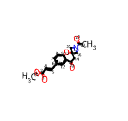 COC(=O)C=Cc1ccc2c(c1)C(=O)CC1(CN(C(C)=O)C1)O2